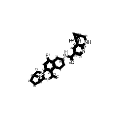 O=C(N[C@@H]1CCc2c(c(F)cc(N3CC4CCC(C3)N4)c2C(F)F)C1)c1cnc2c(c1)[C@H]1C[C@H]1CN2